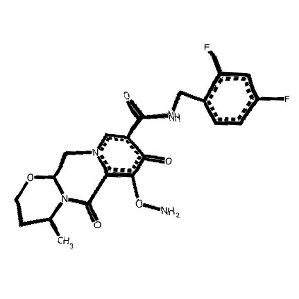 CC1CCOC2Cn3cc(C(=O)NCc4ccc(F)cc4F)c(=O)c(ON)c3C(=O)N12